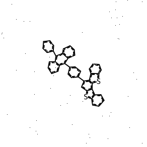 c1ccc(-c2c3ccccc3c(-c3ccc(-c4cc5sc6ccccc6c5c5sc6ccccc6c45)cc3)c3ccccc23)cc1